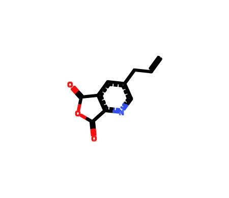 C=CCc1cnc2c(c1)C(=O)OC2=O